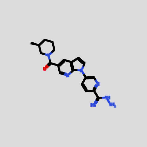 C[C@H]1CCCN(C(=O)c2cnc3c(ccn3-c3ccc(C(=N)NN)nc3)c2)C1